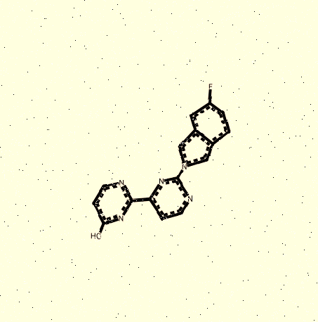 Oc1ccnc(-c2ccnc(-n3cc4ccc(F)cc4c3)n2)n1